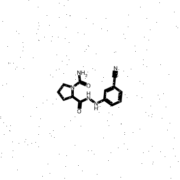 N#Cc1cccc(NNC(=O)C2CCCN2C(N)=O)c1